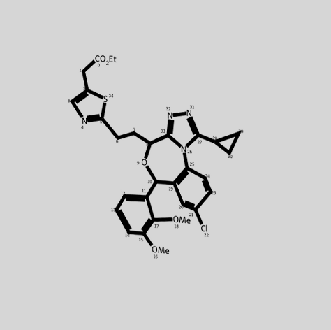 CCOC(=O)Cc1cnc(CCC2OC(c3cccc(OC)c3OC)c3cc(Cl)ccc3-n3c(C4CC4)nnc32)s1